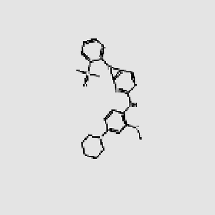 COc1cc(N2CCCCC2)ccc1Nc1ncc2c(n1)N2c1ccccc1P(C)(C)=O